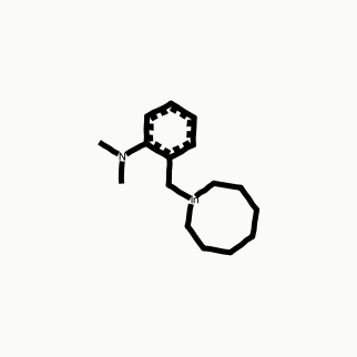 CN(C)c1ccccc1[CH2][In]1[CH2]CCCCC[CH2]1